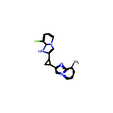 Cc1cccn2cc(C3CC3C3=CN4C=CC=C(F)C4N3)nc12